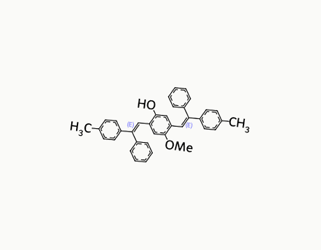 COc1cc(/C=C(\c2ccccc2)c2ccc(C)cc2)c(O)cc1/C=C(\c1ccccc1)c1ccc(C)cc1